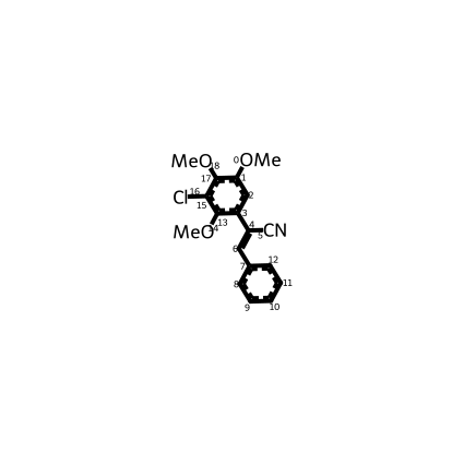 COc1cc(/C(C#N)=C/c2ccccc2)c(OC)c(Cl)c1OC